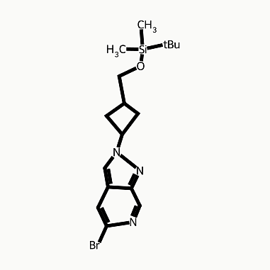 CC(C)(C)[Si](C)(C)OCC1CC(n2cc3cc(Br)ncc3n2)C1